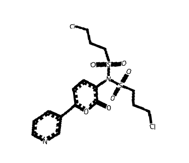 O=c1oc(-c2cccnc2)ccc1N(S(=O)(=O)CCCCl)S(=O)(=O)CCCCl